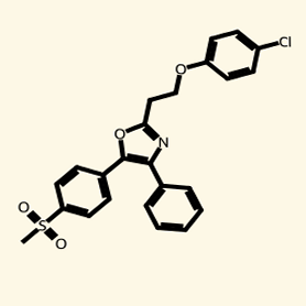 CS(=O)(=O)c1ccc(-c2oc(CCOc3ccc(Cl)cc3)nc2-c2ccccc2)cc1